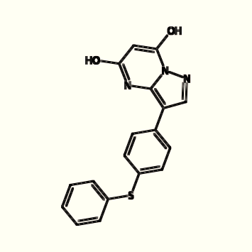 Oc1cc(O)n2ncc(-c3ccc(Sc4ccccc4)cc3)c2n1